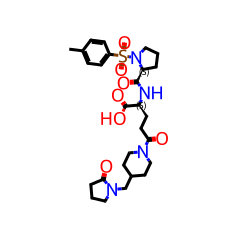 Cc1ccc(S(=O)(=O)N2CCC[C@H]2C(=O)N[C@@H](CCC(=O)N2CCC(CN3CCCC3=O)CC2)C(=O)O)cc1